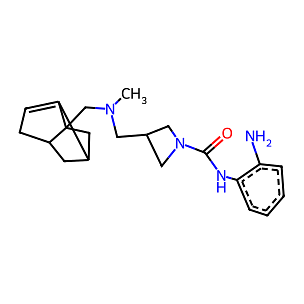 CN(CC1CN(C(=O)Nc2ccccc2N)C1)CC12CC3CC1CC=C32